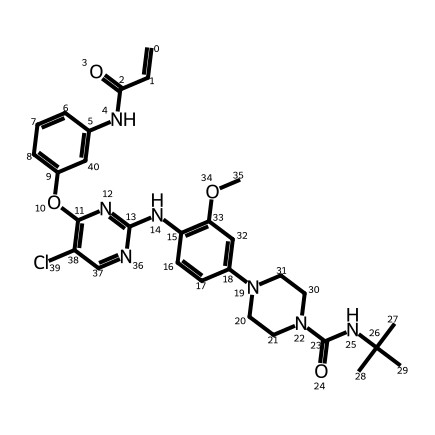 C=CC(=O)Nc1cccc(Oc2nc(Nc3ccc(N4CCN(C(=O)NC(C)(C)C)CC4)cc3OC)ncc2Cl)c1